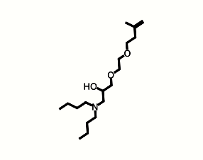 C=C(C)CCOCCOCC(O)CN(CCCC)CCCC